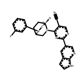 N#Cc1cnc(-c2cnc3[nH]ccc3c2)nc1N1CC2CC[C@H]1CN2c1cccc(F)c1